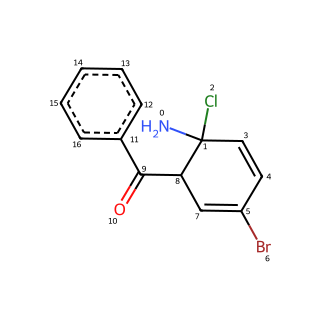 NC1(Cl)C=CC(Br)=CC1C(=O)c1ccccc1